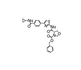 O=C(NC1CC1)c1ccc(-c2csc(NC(=O)[C@H]3COCN3C(=O)OCc3ccccc3)n2)cc1